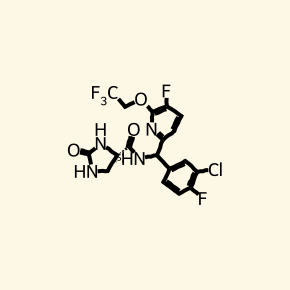 O=C1NC[C@@H](C(=O)NC(c2ccc(F)c(Cl)c2)c2ccc(F)c(OCC(F)(F)F)n2)N1